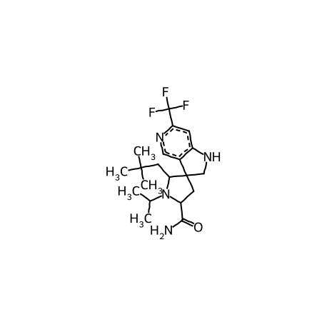 CC(C)N1C(C(N)=O)CC2(CNc3cc(C(F)(F)F)ncc32)C1CC(C)(C)C